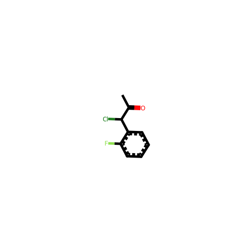 CC(=O)C(Cl)c1ccccc1F